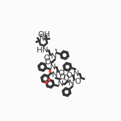 CC(=O)CN(Cc1ccccc1)C(=O)CN(Cc1ccccc1)C(=O)CN(Cc1ccccc1)C(=O)CN(C(=O)CN(C(=O)CN(C(=O)CNC1CC(C)(C)N(O)C(C)(C)C1)[C@@H](C)c1ccccc1)[C@@H](C)c1ccccc1)[C@@H](C)c1ccccc1